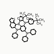 CC(C)(C)c1ccc(N2c3cc(N(c4ccccc4)c4ccccc4)cc4c3B(c3occ(C(C)(C)C)c32)c2c(ccc3ccsc23)N4c2ccccc2)cc1